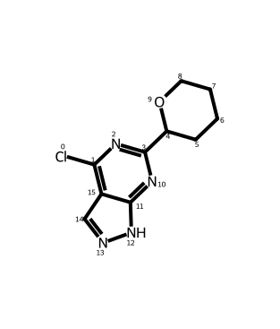 Clc1nc(C2CCCCO2)nc2[nH]ncc12